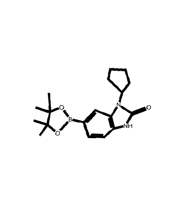 CC1(C)OB(c2ccc3[nH]c(=O)n(C4CCCC4)c3c2)OC1(C)C